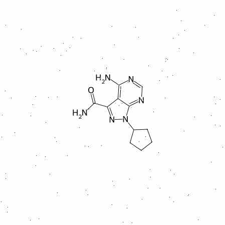 NC(=O)c1nn(C2CCCC2)c2ncnc(N)c12